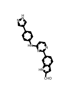 O=Cc1cc2ccc(-c3nccc(Nc4ccc(-c5cn[nH]c5)cc4)n3)cc2[nH]1